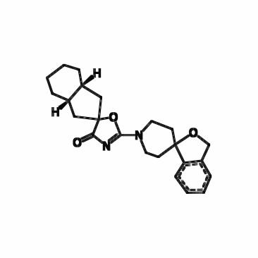 O=C1N=C(N2CCC3(CC2)OCc2ccccc23)OC12C[C@H]1CCCC[C@H]1C2